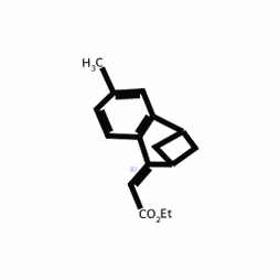 CCOC(=O)/C=C1/c2ccc(C)cc2C2CC1C2